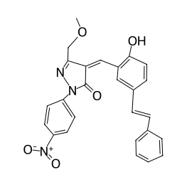 COCC1=NN(c2ccc([N+](=O)[O-])cc2)C(=O)C1=Cc1cc(C=Cc2ccccc2)ccc1O